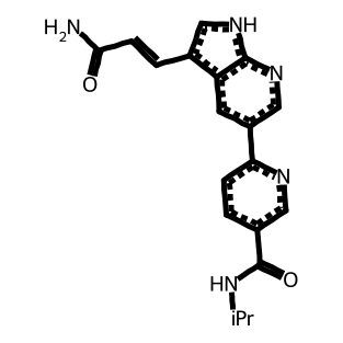 CC(C)NC(=O)c1ccc(-c2cnc3[nH]cc(C=CC(N)=O)c3c2)nc1